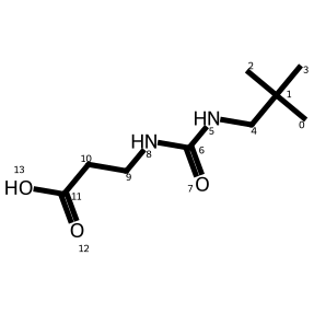 CC(C)(C)CNC(=O)NCCC(=O)O